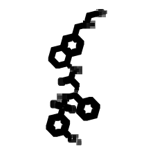 CC(C)CNCc1ccc2c(c1)CCC[C@H]2NC(=O)C[C@@H](NS(=O)(=O)c1cccc(C(F)(F)F)c1)c1ccccc1